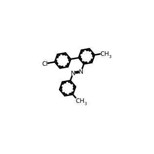 Cc1cccc(N=Nc2cc(C)ccc2-c2ccc(Cl)cc2)c1